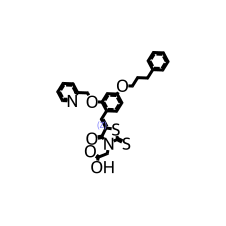 O=C(O)CN1C(=O)/C(=C/c2ccc(OCCCc3ccccc3)cc2OCc2ccccn2)SC1=S